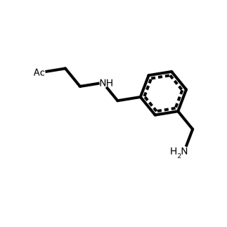 CC(=O)CCNCc1cccc(CN)c1